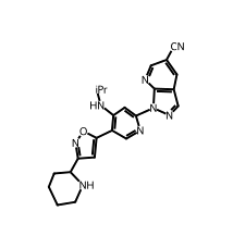 CC(C)Nc1cc(-n2ncc3cc(C#N)cnc32)ncc1-c1cc(C2CCCCN2)no1